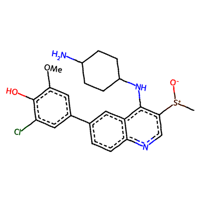 COc1cc(-c2ccc3ncc([S+](C)[O-])c(NC4CCC(N)CC4)c3c2)cc(Cl)c1O